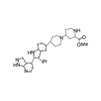 COC(=O)C1CC(N2CCC(c3ccc4[nH]c(-c5ccnc6[nH]ncc56)c(C(C)C)c4c3)CC2)CCN1